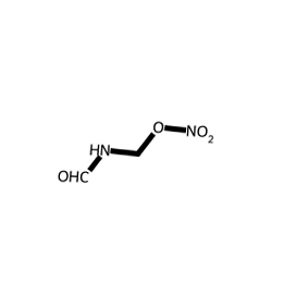 O=CNCO[N+](=O)[O-]